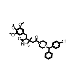 COc1cc(CC(C(N)=O)C(C)(C)CC(=O)N2CCN(C(c3ccccc3)c3ccc(Cl)cc3)CC2)cc(OC)c1OC